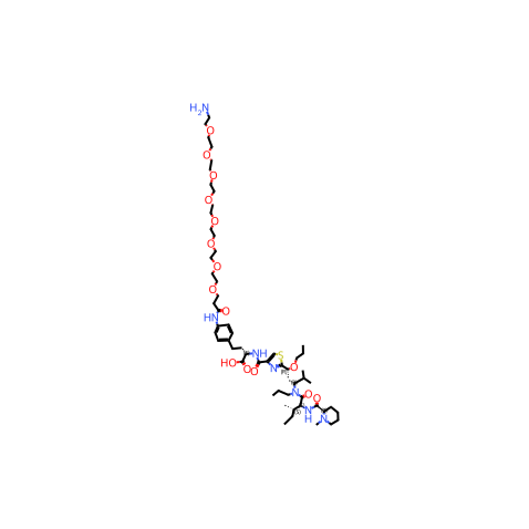 CCCO[C@H](C[C@H](C(C)C)N(CCC)C(=O)[C@@H](NC(=O)[C@H]1CCCCN1C)[C@@H](C)CC)c1nc(C(=O)N[C@@H](CCc2ccc(NC(=O)CCOCCOCCOCCOCCOCCOCCOCCOCCN)cc2)C(=O)O)cs1